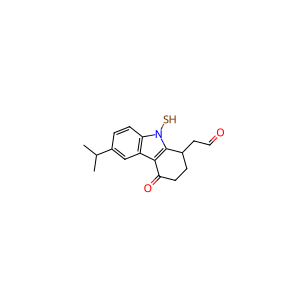 CC(C)c1ccc2c(c1)c1c(n2S)C(CC=O)CCC1=O